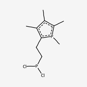 Cc1c(C)c(CCP(Cl)Cl)p(C)c1C